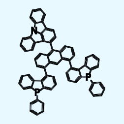 c1ccc(-p2c3ccccc3c3c(-c4cccc5c(-c6ccc7c8ccccc8n8c9ccccc9c6c78)c6cccc(-c7cccc8c7c7ccccc7p8-c7ccccc7)c6cc45)cccc32)cc1